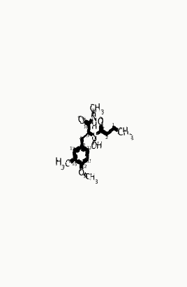 CCCC(=O)N(O)[C@@H](Cc1ccc(OC)c(C)c1)C(=O)NC